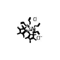 C=CCN(CC=C)[SiH](N(CC=C)CC=C)[Ti+2]([C]1=C(C)C(C)=C(C)C1(C)C)[C]1=C(C)C(C)=C(C)C1(C)C.[Cl-].[Cl-]